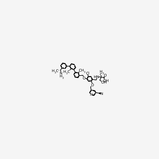 Cc1c(COc2cc(OCc3cncc(C#N)c3)c(CN[C@@](C)(CO)C(=O)O)cc2Cl)cccc1-c1cccc(-c2cccc([C@@H](C)N)c2)c1C